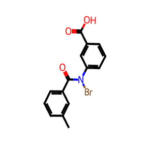 Cc1cccc(C(=O)N(Br)c2cccc(C(=O)O)c2)c1